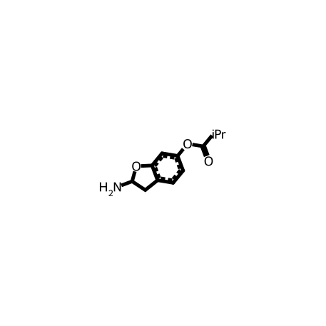 CC(C)C(=O)Oc1ccc2c(c1)OC(N)C2